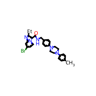 CCc1nc2cc(Br)ccn2c1C(=O)NCc1ccc(N2CCN(c3ccc(C)cc3)CC2)cc1